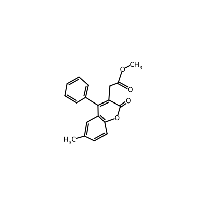 COC(=O)Cc1c(-c2ccccc2)c2cc(C)ccc2oc1=O